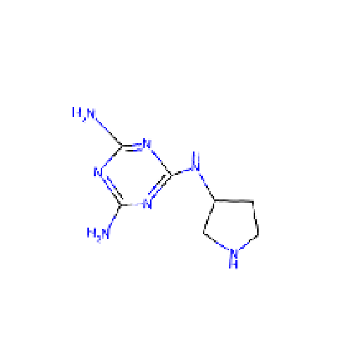 Nc1nc(N)nc(NC2CCNC2)n1